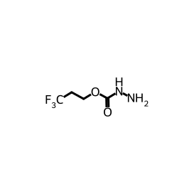 NNC(=O)OCCC(F)(F)F